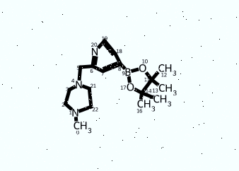 CN1CCN(Cc2cc(B3OC(C)(C)C(C)(C)O3)ccn2)CC1